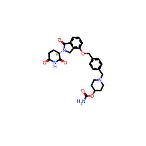 NC(=O)OC1CCN(Cc2ccc(COc3cccc4c3CN([C@H]3CCC(=O)NC3=O)C4=O)cc2)CC1